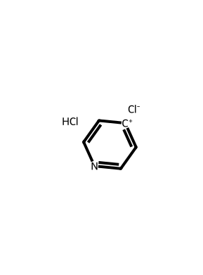 Cl.[C+]1=CC=NC=C1.[Cl-]